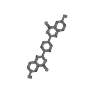 O=c1oc(-c2ccc(-c3nc4ccc(S)cc4c(=O)o3)nc2)nc2ccc(S)cc12